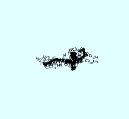 O=C(O)CC[C@H](NC(=O)N[C@@H](CCCNCCNC(=O)CC[C@@H](NC(=O)C(Cc1ccccc1)NC(=O)C(Cc1ccccc1)NC(=O)CN(CCN(CCN(CC(=O)O)CC(=O)O)CC(=O)O)CC(=O)O)C(=O)O)C(=O)O)C(=O)O